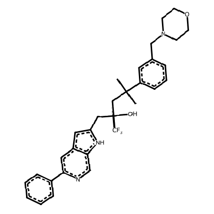 CC(C)(CC(O)(Cc1cc2cc(-c3ccccc3)ncc2[nH]1)C(F)(F)F)c1cccc(CN2CCOCC2)c1